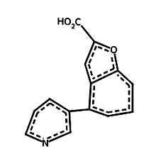 O=C(O)c1cc2c(-c3cccnc3)cccc2o1